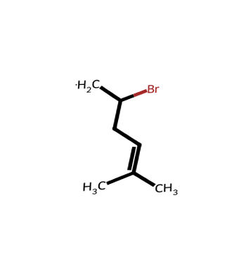 [CH2]C(Br)CC=C(C)C